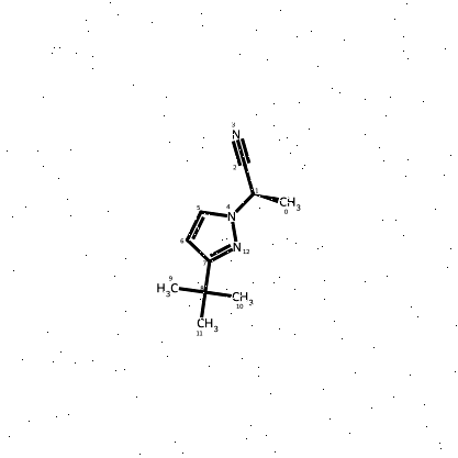 C[C@H](C#N)n1ccc(C(C)(C)C)n1